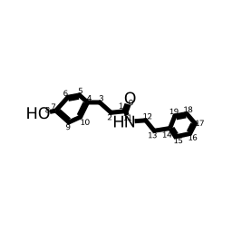 O=C(CCc1ccc(O)cc1)NCCc1ccccc1